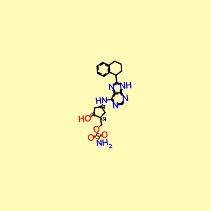 NS(=O)(=O)OC[C@@H]1C[C@@H](Nc2ncnc3[nH]c(C4CCCc5ccccc54)nc23)C[C@@H]1O